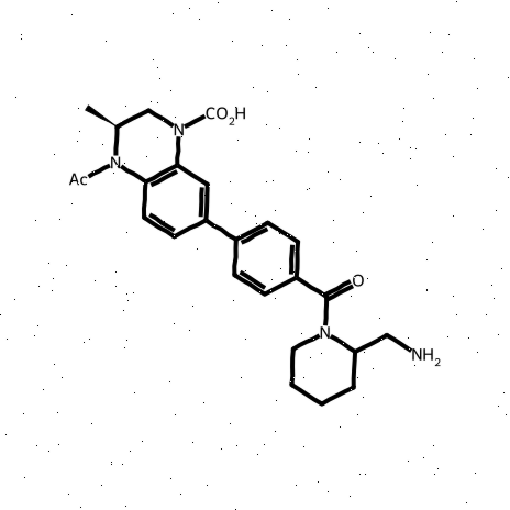 CC(=O)N1c2ccc(-c3ccc(C(=O)N4CCCCC4CN)cc3)cc2N(C(=O)O)C[C@@H]1C